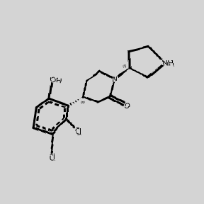 O=C1C[C@H](c2c(O)ccc(Cl)c2Cl)CCN1[C@H]1CCNC1